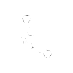 CC(NCC(=O)OCc1ccccc1)C(=O)OCc1ccccc1